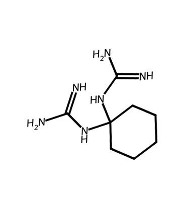 N=C(N)NC1(NC(=N)N)CCCCC1